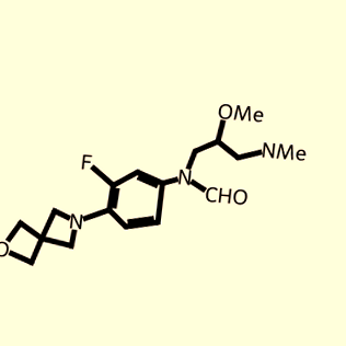 CNCC(CN(C=O)c1ccc(N2CC3(COC3)C2)c(F)c1)OC